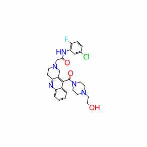 O=C(CN1CCc2nc3ccccc3c(C(=O)N3CCN(CCO)CC3)c2C1)Nc1cc(Cl)ccc1F